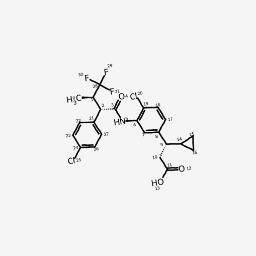 C[C@H]([C@H](C(=O)Nc1cc([C@@H](CC(=O)O)C2CC2)ccc1Cl)c1ccc(Cl)cc1)C(F)(F)F